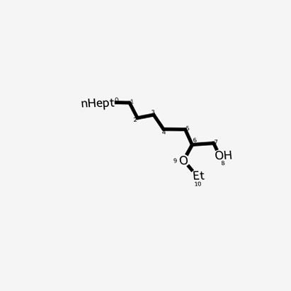 CCCCCCCCCCCCC(CO)OCC